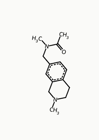 CC(=O)N(C)Cc1ccc2c(c1)CN(C)CC2